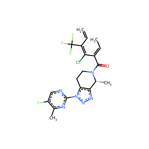 C=C/C(=C(Cl)\C(=C/C)C(=O)N1CCc2c(nnn2-c2ncc(F)c(C)n2)[C@H]1C)C(F)(F)F